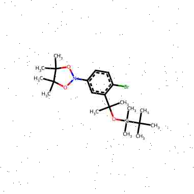 CC(C)(O[Si](C)(C)C(C)(C)C)c1cc(N2OC(C)(C)C(C)(C)O2)ccc1Br